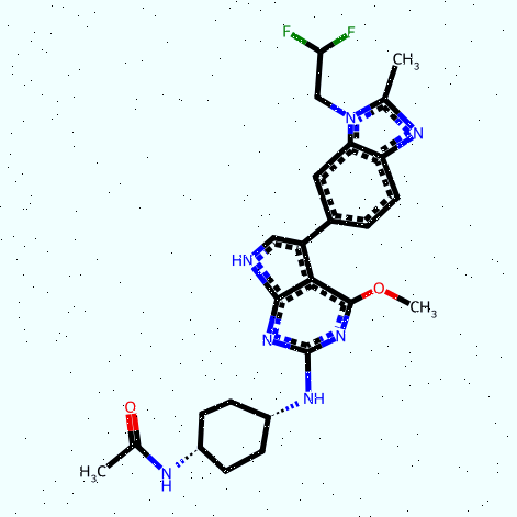 COc1nc(N[C@H]2CC[C@@H](NC(C)=O)CC2)nc2[nH]cc(-c3ccc4nc(C)n(CC(F)F)c4c3)c12